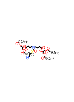 CCCCCCCCC(=O)OCC(COC(=O)CCCCCCCC)OC(=O)CCCN(CCCC(=O)OC(COC(=O)CCCCCCCC)COC(=O)CCCCCCCC)C(=O)SCCCN(C)C